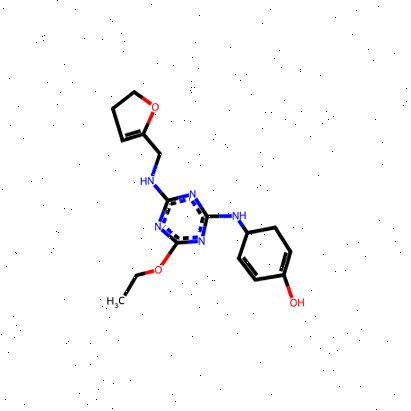 CCOc1nc(NCC2=CCCO2)nc(NC2C=CC(O)=CC2)n1